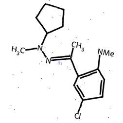 CNc1ccc(Cl)cc1/C(C)=N/N(C)C1CCCC1